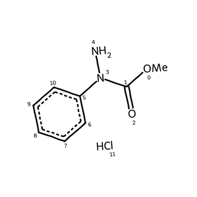 COC(=O)N(N)c1ccccc1.Cl